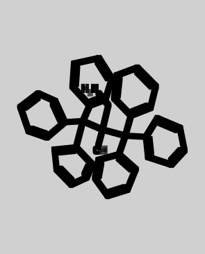 NCC(O)(C(c1ccccc1)(c1ccccc1)c1ccccc1)C(c1ccccc1)(c1ccccc1)c1ccccc1